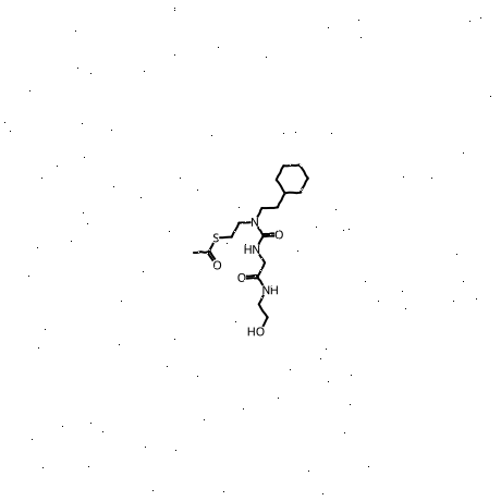 CC(=O)SCCN(CCC1CCCCC1)C(=O)NCC(=O)NCCO